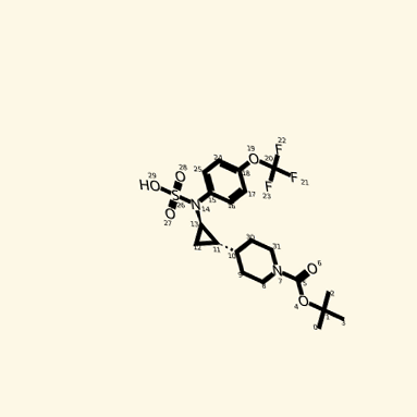 CC(C)(C)OC(=O)N1CCC([C@@H]2C[C@H]2N(c2ccc(OC(F)(F)F)cc2)S(=O)(=O)O)CC1